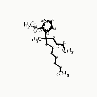 CCCCCCCC(C)(CCCC)c1ccsc1OC